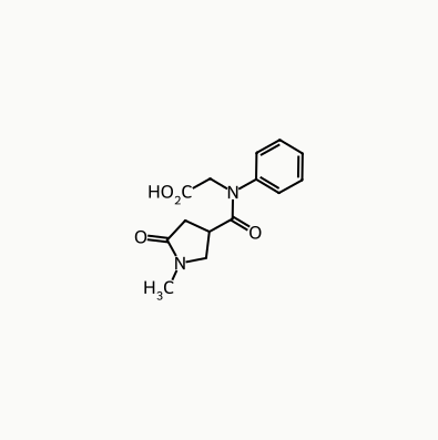 CN1CC(C(=O)N(CC(=O)O)c2ccccc2)CC1=O